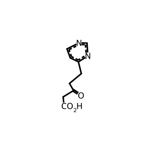 O=C(O)CC(=O)CCc1ccncn1